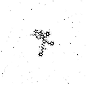 COP(=O)(OC(C)C(=O)N1CCC[C@H]1C(=O)O)[C@@H](Cc1ccccc1)NC(=O)[C@H](CCCCNC(=O)OCc1ccccc1)NC(=O)OCc1ccccc1